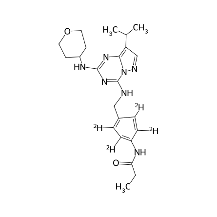 [2H]c1c([2H])c(NC(=O)CC)c([2H])c([2H])c1CNc1nc(NC2CCOCC2)nc2c(C(C)C)cnn12